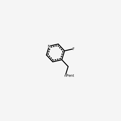 [CH2]CCCCCc1ccncc1F